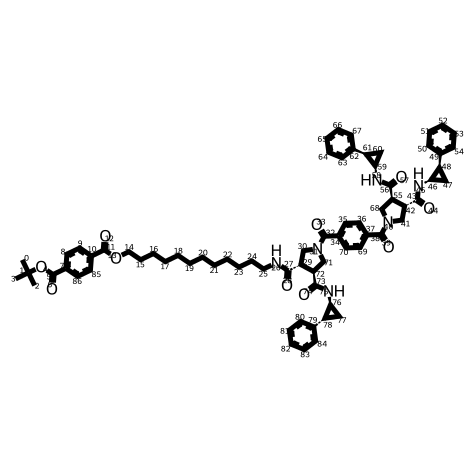 CC(C)(C)OC(=O)c1ccc(C(=O)OCCCCCCCCCCCCNC(=O)[C@@H]2CN(C(=O)c3ccc(C(=O)N4C[C@@H](C(=O)N[C@H]5C[C@@H]5c5ccccc5)[C@H](C(=O)N[C@H]5C[C@@H]5c5ccccc5)C4)cc3)C[C@H]2C(=O)N[C@H]2C[C@@H]2c2ccccc2)cc1